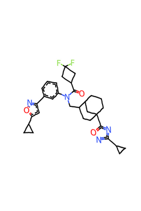 O=C(C1CC(F)(F)C1)N(CC1CCC2(c3nc(C4CC4)no3)CCCC1C2)c1cccc(-c2cc(C3CC3)on2)c1